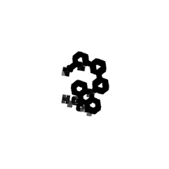 CC1(C)C2C=CCCC2N(c2cccc(-c3cccc(C4=CCCC(C#N)=N4)c3)c2)C2C=CCCC21